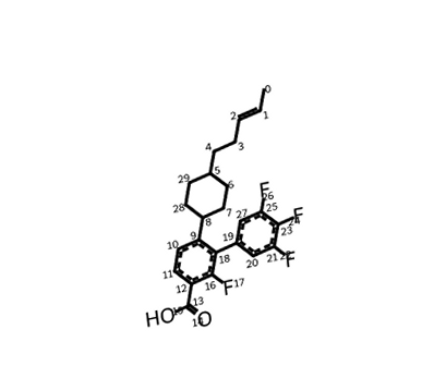 CC=CCCC1CCC(c2ccc(C(=O)O)c(F)c2-c2cc(F)c(F)c(F)c2)CC1